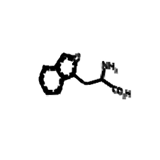 NC(Cc1occ2ccccc12)C(=O)O